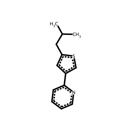 CC(C)Cc1cc(-c2ccccn2)cs1